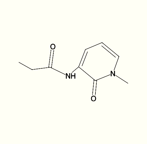 CCC(=O)Nc1cccn(C)c1=O